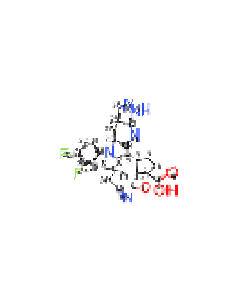 CO[C@@]1(C(=O)O)CC[C@@H](c2c(C(C)(C)CC#N)n(-c3ccc(F)c(F)c3)c3cc4cn[nH]c4nc23)C1